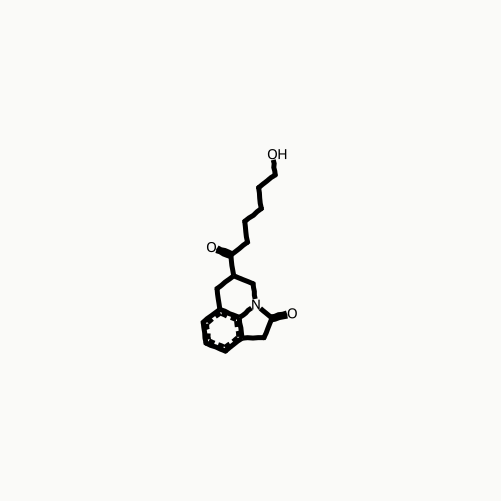 O=C(CCCCCO)C1Cc2cccc3c2N(C1)C(=O)C3